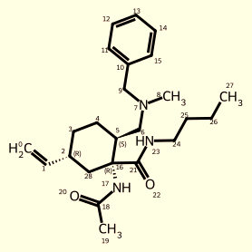 C=C[C@@H]1CC[C@@H](CN(C)Cc2ccccc2)[C@@](NC(C)=O)(C(=O)NCCCC)C1